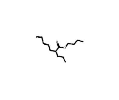 CCCCCC(CCC)C(=O)OCCCC